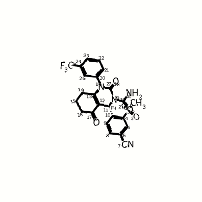 CS(=O)(=O)c1cc(C#N)ccc1[C@@H]1C2=C(CCCC2=O)N(c2cccc(C(F)(F)F)c2)C(=O)N1C(N)=O